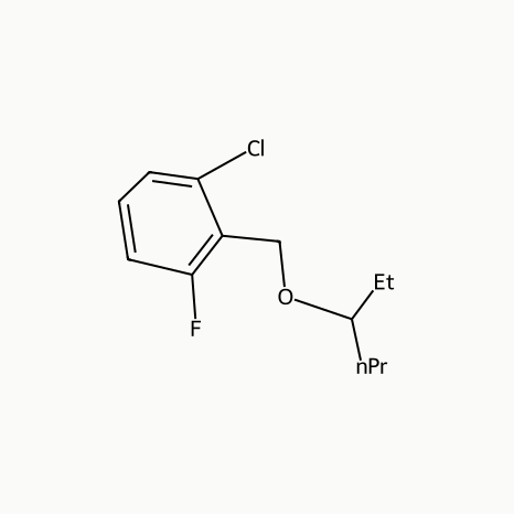 CCCC(CC)OCc1c(F)cccc1Cl